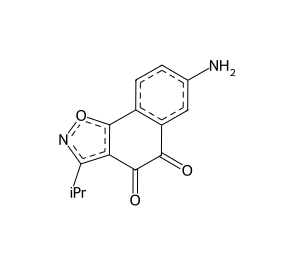 CC(C)c1noc2c1C(=O)C(=O)c1cc(N)ccc1-2